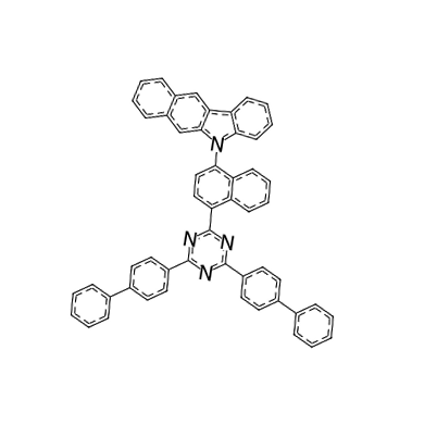 c1ccc(-c2ccc(-c3nc(-c4ccc(-c5ccccc5)cc4)nc(-c4ccc(-n5c6ccccc6c6cc7ccccc7cc65)c5ccccc45)n3)cc2)cc1